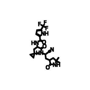 CC1(CC(NC(=O)c2ccc(C(F)(F)F)[nH]2)C(=O)NC(C#N)CC2CC(C)(C)NC2=O)CC1